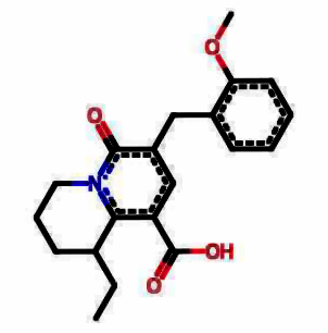 CCC1CCCn2c1c(C(=O)O)cc(Cc1ccccc1OC)c2=O